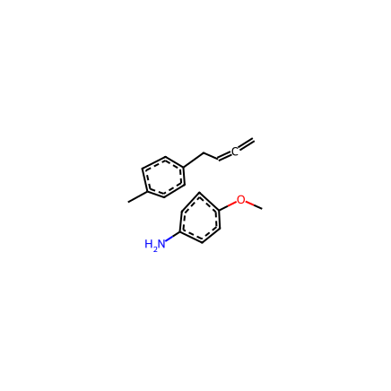 C=C=CCc1ccc(C)cc1.COc1ccc(N)cc1